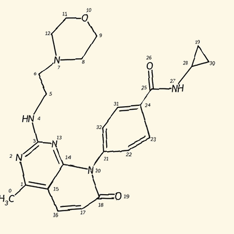 Cc1nc(NCCN2CCOCC2)nc2c1ccc(=O)n2-c1ccc(C(=O)NC2CC2)cc1